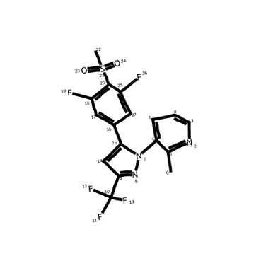 Cc1ncccc1-n1nc(C(F)(F)F)cc1-c1cc(F)c(S(C)(=O)=O)c(F)c1